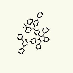 CC1(C)c2ccccc2-c2c(N(c3ccc(-c4ccccc4)cc3)c3ccc(-c4c(-c5ccc(-c6nc(-c7ccccc7)cc(-c7ccccc7)n6)cc5)c(-c5ccccc5)c5ccccc5c4-c4ccccc4)cc3)cccc21